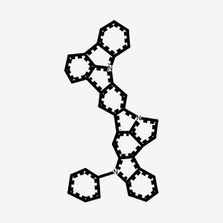 c1ccc(-n2c3ccccc3c3c4ccn5c6cc7c(cc6c(cc32)c45)c2cccc3c4ccccc4n7c32)cc1